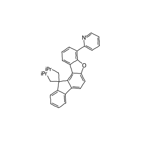 CC(C)CC1(CC(C)C)c2ccccc2-c2ccc3oc4c(-c5ccccn5)cccc4c3c21